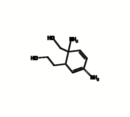 NC1=CC(CCO)C(N)(CO)C=C1